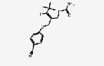 CC(C)(C)C(F)=C(COC(N)=O)COc1ccc(C#N)cc1